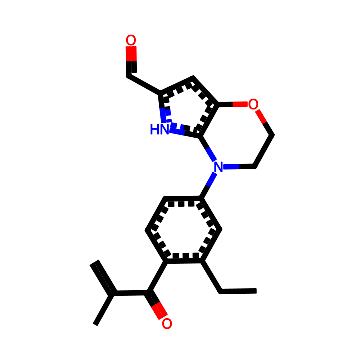 C=C(C)C(=O)c1ccc(N2CCOc3cc(C=O)[nH]c32)cc1CC